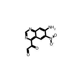 Nc1cc2ncnc(C(=O)C=O)c2cc1[N+](=O)[O-]